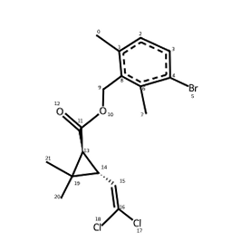 Cc1ccc(Br)c(C)c1COC(=O)[C@H]1[C@H](C=C(Cl)Cl)C1(C)C